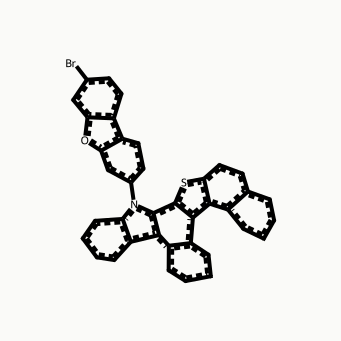 Brc1ccc2c(c1)oc1cc(-n3c4ccccc4c4c5ccccc5c5c(sc6ccc7ccccc7c65)c43)ccc12